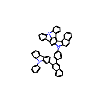 c1ccc(-n2c3ccccc3c3ccc(-c4cc5ccccc5cc4-c4ccc(-n5c6ccc7ccccc7c6c6c7c8ccccc8n8c9ccccc9c(cc65)c78)cc4)cc32)cc1